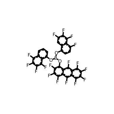 Fc1cc2c(OB(Oc3cccc4c(F)c(F)c(F)c(F)c34)Oc3c(F)c(F)c(F)c4c(F)c5c(F)c(F)c(F)c(F)c5c(F)c34)ccc(F)c2c(F)c1F